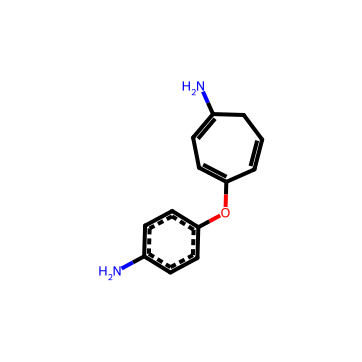 NC1=CC=C(Oc2ccc(N)cc2)C=CC1